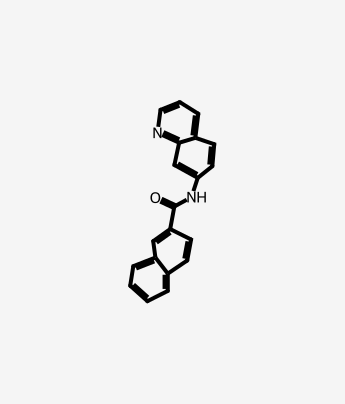 O=C(Nc1ccc2cccnc2c1)c1ccc2ccccc2c1